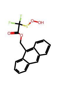 O=C(OCc1c2ccccc2cc2ccccc12)C(F)(F)SOO